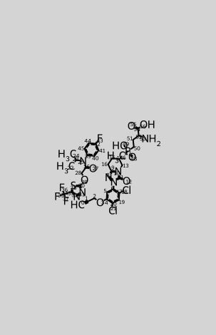 C#CCOc1cc(-n2nc3n(c2=O)CCCC3)c(Cl)cc1Cl.CC(C)N(C(=O)COc1nnc(C(F)(F)F)s1)c1ccc(F)cc1.CP(=O)(O)CCC(N)C(=O)O